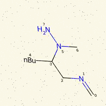 C=NCC(CCCC)N(C)N